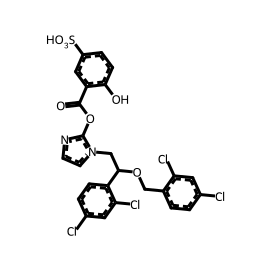 O=C(Oc1nccn1CC(OCc1ccc(Cl)cc1Cl)c1ccc(Cl)cc1Cl)c1cc(S(=O)(=O)O)ccc1O